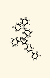 c1ccc(-c2ccc(-c3cc(-c4cccc(-n5c6ccccc6c6ncccc65)c4)nc(-c4ccccn4)c3)cc2)cc1